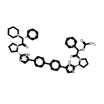 CC(=O)O[C@@H](C(=O)N1CCC[C@H]1c1ncc(-c2ccc(-c3ccc(-c4cnc([C@@H]5CCCN5C(=O)[C@@H](c5ccccc5)N5CCCCC5)[nH]4)cc3)cc2)[nH]1)c1ccccc1